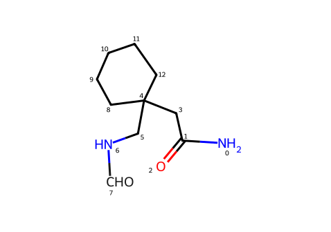 NC(=O)CC1(CNC=O)CCCCC1